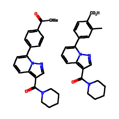 COC(=O)c1ccc(-c2cccc3c(C(=O)N4CCCCC4)cnn23)cc1.Cc1cc(-c2cccc3c(C(=O)N4CCCCC4)cnn23)ccc1C(=O)O